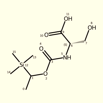 CC(OC(=O)N[C@@H](CO)C(=O)O)[Si](C)(C)C